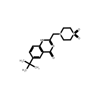 CC(C)(C)c1ccc2[nH]c(CN3CCS(=O)(=O)CC3)nc(=O)c2c1